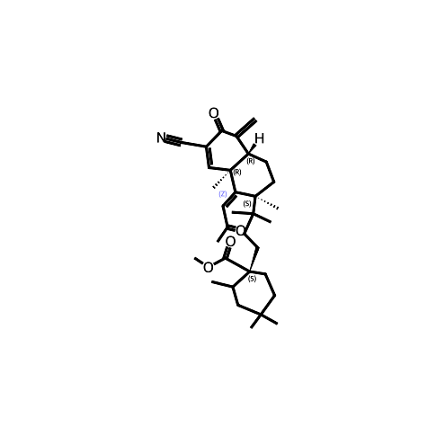 C=C1C(=O)C(C#N)=C[C@]2(C)/C(=C/C(C)=O)[C@](C)(C(C)(C)CC[C@@]3(C(=O)OC)CCC(C)(C)CC3C)CC[C@@H]12